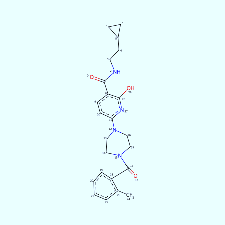 O=C(NCCC1CC1)c1ccc(N2CCN(C(=O)c3ccccc3C(F)(F)F)CC2)nc1O